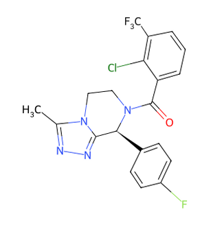 Cc1nnc2n1CCN(C(=O)c1cccc(C(F)(F)F)c1Cl)[C@H]2c1ccc(F)cc1